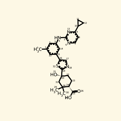 Cc1cc(Nc2nccc(C3CC3)n2)cc(-c2cnc([C@@]3(O)CC[C@H](C(=O)O)C(C)(C)C3)s2)c1